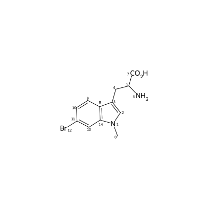 Cn1cc(CC(N)C(=O)O)c2ccc(Br)cc21